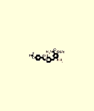 COc1cc(N)c(CC2CCN(CC(O)c3ccc(OC(F)F)cc3)CC2)cc1C(N)=O